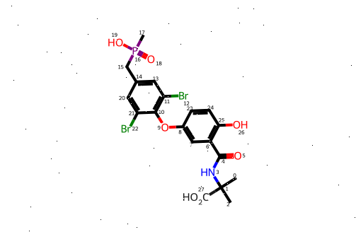 CC(C)(NC(=O)c1cc(Oc2c(Br)cc(CP(C)(=O)O)cc2Br)ccc1O)C(=O)O